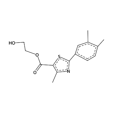 Cc1ccc(-c2nc(C)c(C(=O)OCCO)s2)cc1C